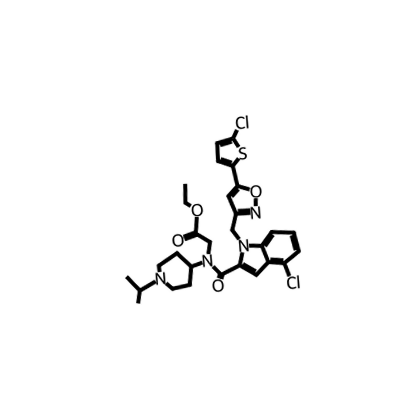 CCOC(=O)CN(C(=O)c1cc2c(Cl)cccc2n1Cc1cc(-c2ccc(Cl)s2)on1)C1CCN(C(C)C)CC1